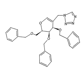 C1=C(Cn2cnnn2)[C@@H](OCc2ccccc2)[C@@H](OCc2ccccc2)[C@@H](COCc2ccccc2)O1